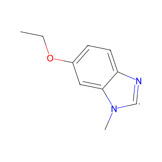 CCOc1ccc2n[c]n(C)c2c1